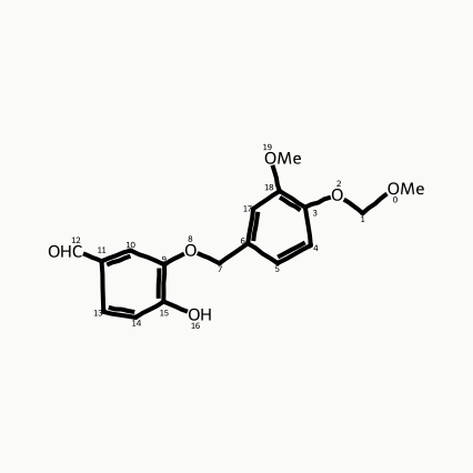 COCOc1ccc(COc2cc(C=O)ccc2O)cc1OC